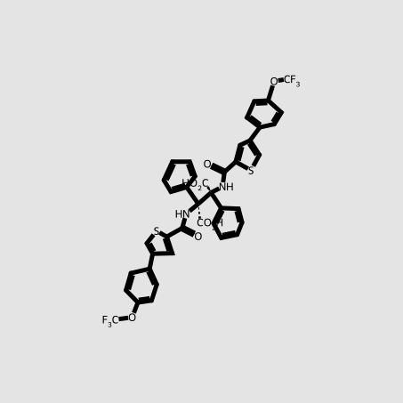 O=C(N[C@@](C(=O)O)(c1ccccc1)[C@](NC(=O)c1cc(-c2ccc(OC(F)(F)F)cc2)cs1)(C(=O)O)c1ccccc1)c1cc(-c2ccc(OC(F)(F)F)cc2)cs1